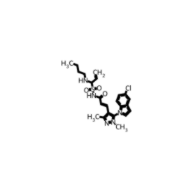 C=CC(NCCCC)S(=O)(=O)NC(=O)/C=C/c1c(C)nn(C)c1-n1ccc2cc(Cl)ccc21